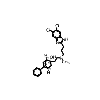 CN(CCCc1nc2cc(Cl)c(Cl)cc2[nH]1)CC[C@@]1(O)C[C@@H]2CC[C@H]1C=C2c1ccccc1